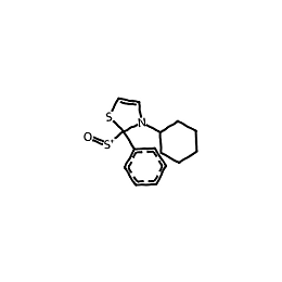 O=[S+]C1(c2ccccc2)SC=CN1C1CCCCC1